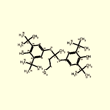 CCCC(C)(Sc1cc(C(C)(C)C)c(O)c(C(C)(C)C)c1)Sc1cc(C(C)(C)C)c(O)c(C(C)(C)C)c1